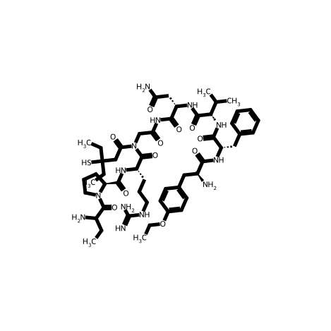 CCOc1ccc(C[C@H](N)C(=O)N[C@@H](Cc2ccccc2)C(=O)N[C@H](C(=O)N[C@@H](CC(N)=O)C(=O)NC(=O)CN(C(=O)CC(S)(CC)CC)C(=O)[C@H](CCCNC(=N)N)NC(=O)[C@@H]2CCCN2C(=O)C(N)CC)C(C)C)cc1